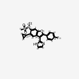 CCN(c1cc2oc(-c3ccc(F)cc3)c(-c3ncc[nH]3)c2cc1C1CC1)S(C)(=O)=O